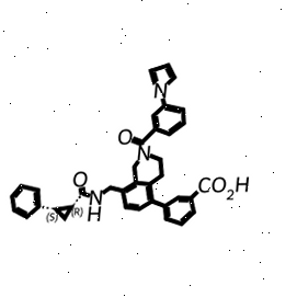 O=C(O)c1cccc(-c2ccc(CNC(=O)[C@@H]3C[C@@H]3c3ccccc3)c3c2CCN(C(=O)c2cccc(-n4cccc4)c2)C3)c1